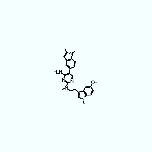 COc1ccc2c(c1)c(CCN(C)c1ncc(-c3ccc4c(c3)cc(C)n4C)c(N)n1)cn2C